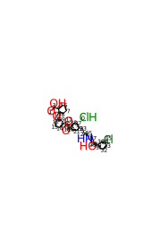 Cl.O=C(O)c1ccccc1Oc1cccc(S(=O)(=O)c2ccc(CCCNC[C@H](O)c3cccc(Cl)c3)cc2)c1